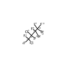 FC(F)(Cl)C(F)(Cl)C(F)(Br)C(F)(Br)I